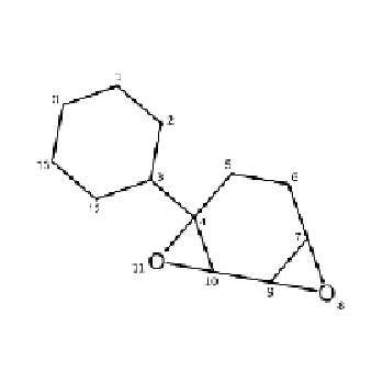 C1CCC(C23CCC4OC4C2O3)CC1